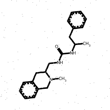 CC(Cc1ccccc1)NC(=O)NCC1Cc2ccccc2CN1C